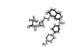 CC(=O)N1CCN(c2ccc(Nc3ncc4ccc(=O)n(CCC5CNC5)c4n3)cc2)CC1.O=C(O)C(F)(F)F